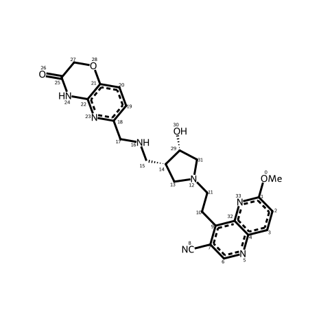 COc1ccc2ncc(C#N)c(CCN3C[C@H](CNCc4ccc5c(n4)NC(=O)CO5)[C@H](O)C3)c2n1